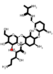 CC(N)C(=N)NC[C@@H]1CCC(N)[C@@H](OC2C(O)C(O[C@H]3OC(CO)C(O)[C@H](N)C3O)[C@H](NC(=O)[C@@H](O)[C@@H](O)CCN)C[C@@H]2N)O1